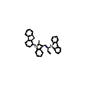 C=C/C(=C\c1c(C)n(-c2cccc3c2Cc2ccccc2-3)c2ccccc12)n1c2ccccc2c2ccccc21